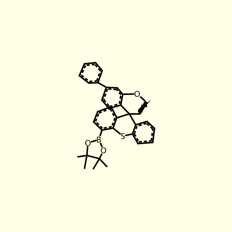 CC1(C)OB(c2cccc3c2Sc2ccccc2C32c3ccccc3Oc3cc(-c4ccccc4)ccc32)OC1(C)C